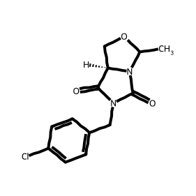 CC1OC[C@@H]2C(=O)N(Cc3ccc(Cl)cc3)C(=O)N12